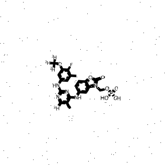 [2H]c1nc(Nc2cc(C)c(F)c(OC([2H])([2H])[2H])c2)nc(Nc2ccc3oc(=O)n(COP(=O)(O)O)c3c2)c1C